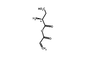 C=CC(=O)OC(=O)[C@@H](N)CC(=O)O